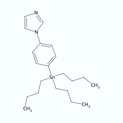 CCC[CH2][Sn]([CH2]CCC)([CH2]CCC)[c]1ccc(-n2ccnc2)cc1